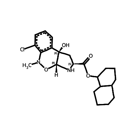 CN1O[C@H]2N[C@H](C(=O)OC3CCCC4CCCCC43)C[C@@]2(O)c2cccc(Cl)c21